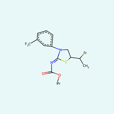 CC(C)OC(=O)N=C1SC(C(C)Br)CN1c1cccc(C(F)(F)F)c1